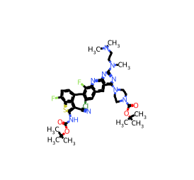 CN(C)CCN(C)c1nc(N2CCN(C(=O)OC(C)(C)C)CC2)c2cc3cc(Cl)c(-c4ccc(F)c5sc(NC(=O)OC(C)(C)C)c(C#N)c45)c(F)c3nc2n1